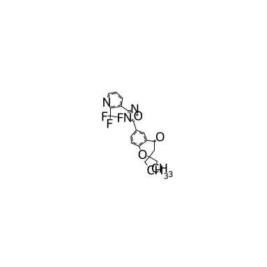 CCC1(CC)CC(=O)c2cc(-c3nc(-c4cccnc4C(F)(F)F)no3)ccc2O1